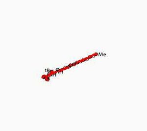 COCCOCCOCCOCCOCCOCCOCCOCCOCCOCCOCCOCCC(=O)NCCCC[C@H](NC(=O)OCC1c2ccccc2-c2ccccc21)C(=O)OC(C)(C)C